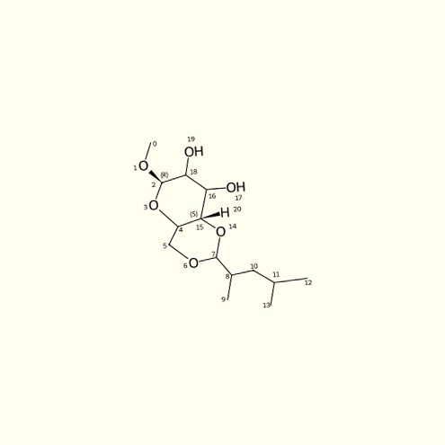 CO[C@@H]1OC2COC(C(C)CC(C)C)O[C@H]2C(O)C1O